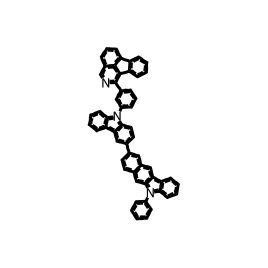 c1ccc(-n2c3ccccc3c3cc4cc(-c5ccc6c(c5)c5ccccc5n6-c5cccc(-c6ncc7cccc8c7c6-c6ccccc6-8)c5)ccc4cc32)cc1